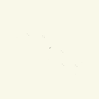 O=C(O)N1CCN(C[C@H](O)Cn2cc([N+](=O)[O-])nc2Cl)CC1